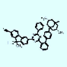 C[C@@H]1C[C@@H]2C[C@H](C)CC(c3ccc(-c4ccccc4-c4nc(-c5ccccc5)nc(-c5ccc6c(c5)-c5ccc(C#N)cc5C6(C)C)n4)cc3)(C1)C2